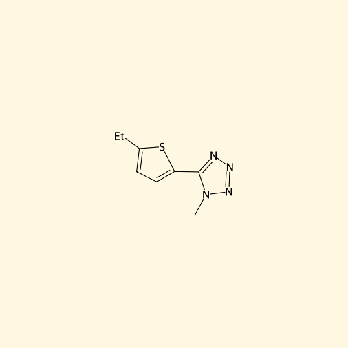 CCc1ccc(-c2nnnn2C)s1